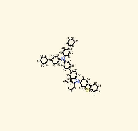 C=Cc1c(/C=C\C)n(-c2ccc3c(c2)sc2ccccc23)c2ccc(-c3ccc(N(c4ccc(-c5ccccc5)cc4)c4ccc(-c5ccccc5)cc4)cc3)cc12